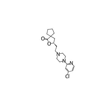 O=C1O[C@H](CCN2CCN(c3cc(Cl)ccn3)CC2)CC12CCCC2